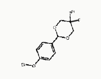 CCCC1(F)COC(c2ccc(OCC)cc2)OC1